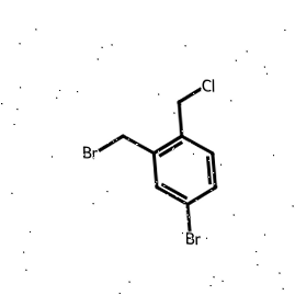 ClCc1ccc(Br)cc1CBr